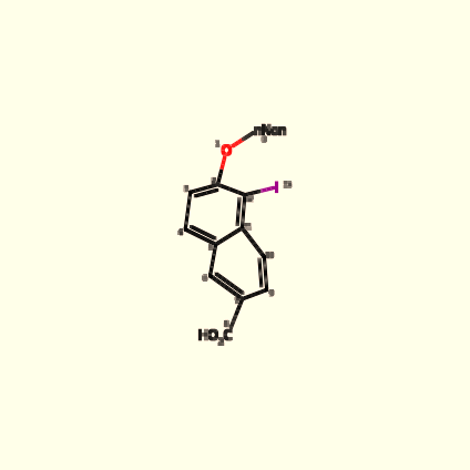 CCCCCCCCCOc1ccc2cc(C(=O)O)ccc2c1I